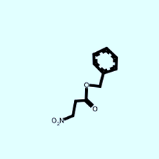 O=C(CC[N+](=O)[O-])OCc1ccccc1